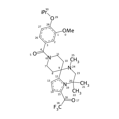 COc1cc(C(=O)N2CCC3(CC2)c2ccc(C(=O)C(F)(F)F)n2C(C)(C)CN3C)ccc1OC(C)C